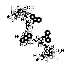 CC(C)C[C@H](NC(=O)[C@H](C)NC(=O)[C@H](CC(=O)O)NC(=O)CNC(=O)CN(CCNc1ccc(NCCN(CC(=O)NCC(=O)N[C@@H](CC(=O)O)C(=O)N[C@@H](C)C(=O)N[C@@H](CC(C)C)C(N)=O)C(=O)OCC2c3ccccc3-c3ccccc32)c2c1C(=O)c1c(O)ccc(O)c1C2=O)C(=O)OCC1c2ccccc2-c2ccccc21)C(N)=O